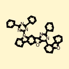 c1ccc(-c2nc(-c3ccccc3)nc(-n3c4ccccc4c4cc5oc6c(-c7cccc8oc9ccccc9c78)nc(-c7ccccc7)nc6c5cc43)n2)cc1